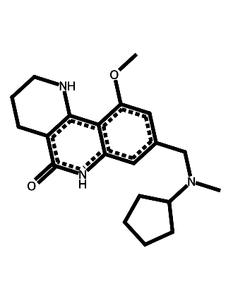 COc1cc(CN(C)C2CCCC2)cc2[nH]c(=O)c3c(c12)NCCC3